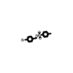 Cc1ccc(S(=O)(=O)/N=C/c2ccc(Br)cc2)cc1